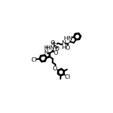 Cc1cc(OCCCc2c(C(=O)NS(=O)(=O)CCNC(=O)[C@@H]3Cc4ccccc4N3)[nH]c3cc(Cl)ccc23)cc(C)c1Cl